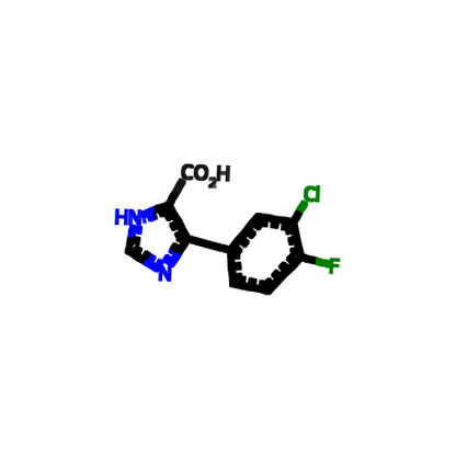 O=C(O)c1[nH]cnc1-c1ccc(F)c(Cl)c1